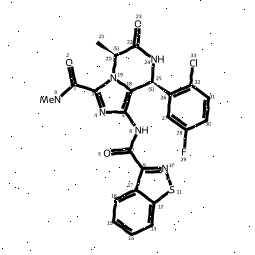 CNC(=O)c1nc(NC(=O)c2nsc3ccccc23)c2n1[C@@H](C)C(=O)N[C@H]2c1cc(F)ccc1Cl